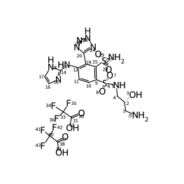 NC[C@@H](O)CNS(=O)(=O)c1ccc(Nc2ncc[nH]2)c(-c2nn[nH]n2)c1S(N)(=O)=O.O=C(O)C(F)(F)F.O=C(O)C(F)(F)F